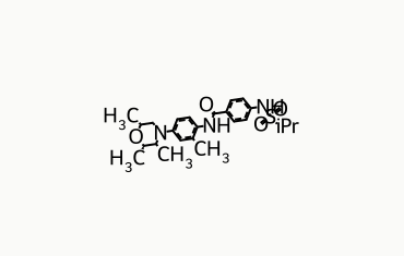 Cc1cc(N2C[C@H](C)O[C@H](C)C2C)ccc1NC(=O)c1ccc(NS(=O)(=O)C(C)C)cc1